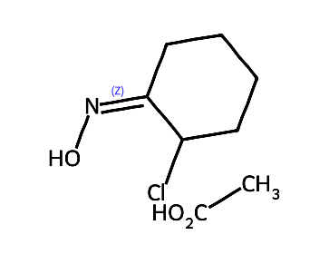 CC(=O)O.O/N=C1/CCCCC1Cl